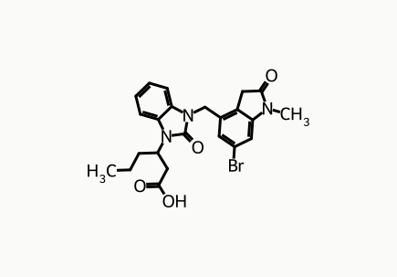 CCCC(CC(=O)O)n1c(=O)n(Cc2cc(Br)cc3c2CC(=O)N3C)c2ccccc21